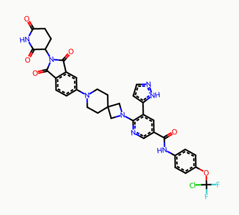 O=C1CCC(N2C(=O)c3ccc(N4CCC5(CC4)CN(c4ncc(C(=O)Nc6ccc(OC(F)(F)Cl)cc6)cc4-c4ccn[nH]4)C5)cc3C2=O)C(=O)N1